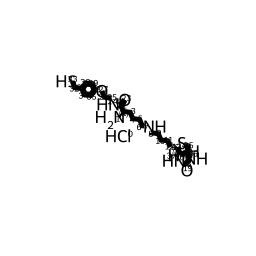 Cl.N[C@H](CCCCNCCCCC[C@@H]1SC[C@@H]2NC(=O)N[C@@H]21)C(=O)NCCOc1ccc(CS)cc1